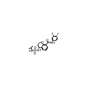 CC(C)NS(=O)(=O)N[C@H]1CCOc2c(C(=O)Nc3ccc(F)c(F)c3)cccc21